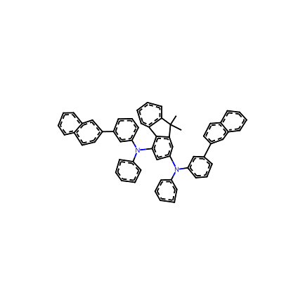 CC1(C)c2ccccc2-c2c(N(c3ccccc3)c3cccc(-c4ccc5ccccc5c4)c3)cc(N(c3ccccc3)c3cccc(-c4ccc5ccccc5c4)c3)cc21